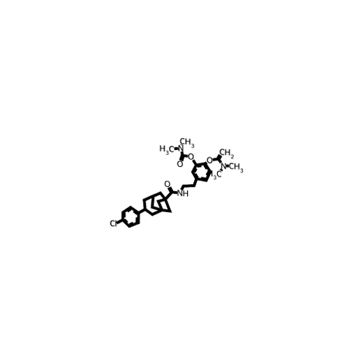 C=C(Oc1ccc(CCNC(=O)C23CC4CC(c5ccc(Cl)cc5)CC(C4)(C2)C3)cc1OC(=O)N(C)C)N(C)C